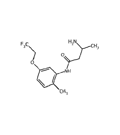 Cc1ccc(OCC(F)(F)F)cc1NC(=O)CC(C)N